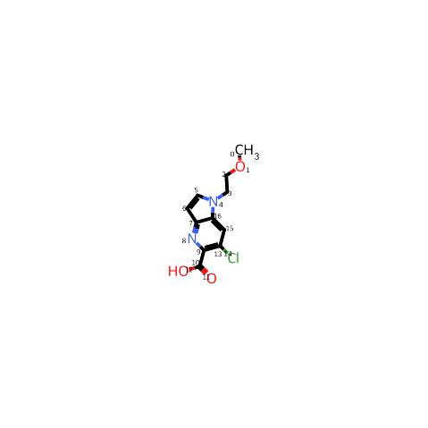 COCCn1ccc2nc(C(=O)O)c(Cl)cc21